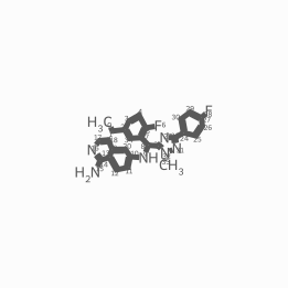 CCc1ccc(F)c(C(Nc2ccc3c(N)nccc3c2)c2nc(-c3ccc(F)cc3)nn2C)c1